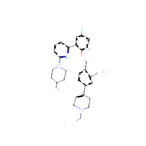 COc1cc(C2=CCN(CC(F)(F)F)CC2)ccc1COc1c(F)cc(F)cc1-c1cccc(N2CCC(C(=O)O)CC2)n1